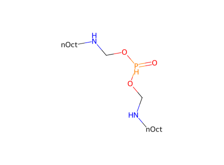 CCCCCCCCNCO[PH](=O)OCNCCCCCCCC